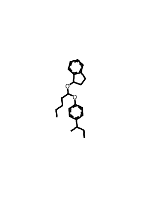 CCCCC(Oc1ccc(C(C)CC)cc1)OC1CCc2ccccc21